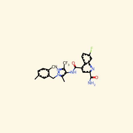 Cc1ccc(C#N)c(Cn2nc(C(F)(F)F)c(NC(=O)c3cc(C(N)=O)nc4cc(F)ccc34)c2C)c1